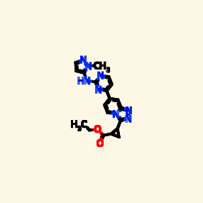 CCOC(=O)C1CC1c1nnc2cc(-c3ccnc(Nc4ccnn4C)n3)ccn12